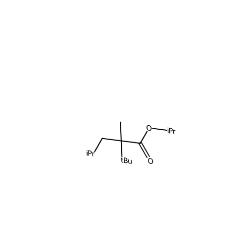 CC(C)CC(C)(C(=O)OC(C)C)C(C)(C)C